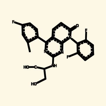 Cc1cc(F)ccc1-c1nc(NC(CO)CO)nc2c1ccc(=O)n2-c1c(F)cccc1F